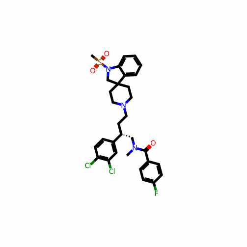 CN(C[C@@H](CCN1CCC2(CC1)CN(S(C)(=O)=O)c1ccccc12)c1ccc(Cl)c(Cl)c1)C(=O)c1ccc(F)cc1